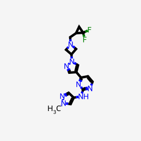 Cn1cc(Nc2nccc(-c3cnn(C4CN(CC5CC5(F)F)C4)c3)n2)cn1